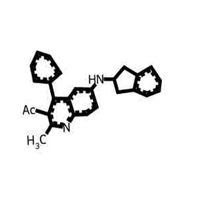 CC(=O)c1c(C)nc2ccc(NC3Cc4ccccc4C3)cc2c1-c1ccccc1